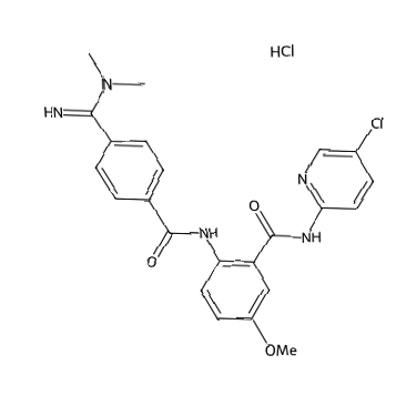 COc1ccc(NC(=O)c2ccc(C(=N)N(C)C)cc2)c(C(=O)Nc2ccc(Cl)cn2)c1.Cl